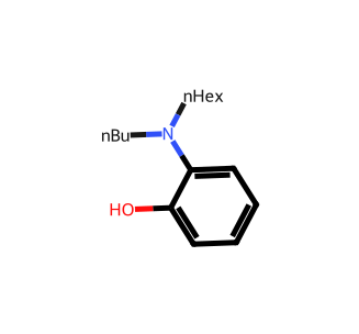 CCCCCCN(CCCC)c1ccccc1O